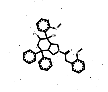 COc1ccccc1CC(=O)N1CC2C(C1)C(O)(c1ccccc1OC)C(O)CC2(c1ccccc1)c1ccccc1